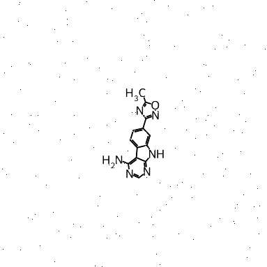 Cc1nc(-c2ccc3c(c2)[nH]c2ncnc(N)c23)no1